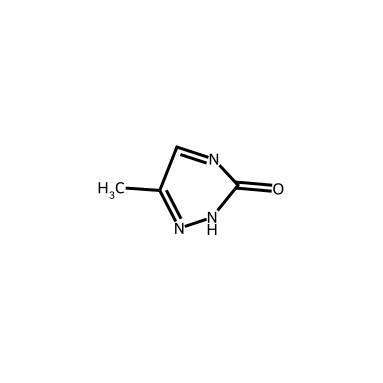 Cc1cnc(=O)[nH]n1